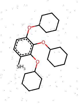 [SiH3]c1ccc(OC2CCCCC2)c(OC2CCCCC2)c1OC1CCCCC1